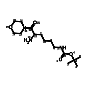 CC(C)(C)OC(=O)NCCCC[C@@H](N)C(=O)N1CCOCC1